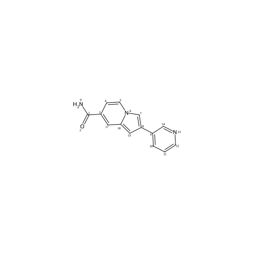 NC(=O)c1ccn2cc(-c3cccnc3)cc2c1